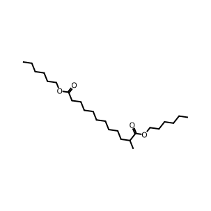 CCCCCCOC(=O)CCCCCCCCCC(C)C(=O)OCCCCCC